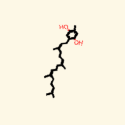 CC(C)=CCCC(C)=CCCC(C)=CCCC(C)=CCc1cc(O)c(C)cc1O